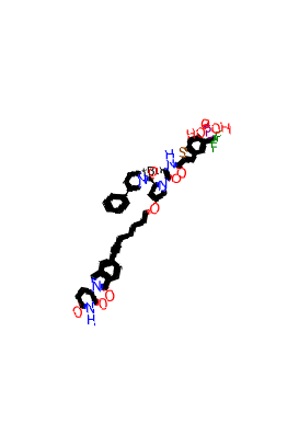 CC(C)(C)[C@H](NC(=O)c1cc2cc(C(F)(F)P(=O)(O)O)ccc2s1)C(=O)N1C[C@H](OCCCCCC#Cc2ccc3c(c2)CN(C2CCC(=O)NC2=O)C3=O)C[C@H]1C(=O)N1CCC[C@H](c2ccccc2)C1